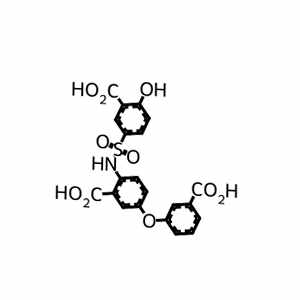 O=C(O)c1cccc(Oc2ccc(NS(=O)(=O)c3ccc(O)c(C(=O)O)c3)c(C(=O)O)c2)c1